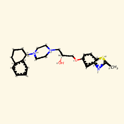 Cc1nc2cc(OC[C@H](O)CN3C[CH]N([C@@H]4CCCc5ccccc54)CC3)ccc2s1